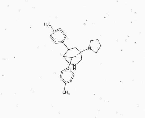 Cc1ccc(C2CC3(N4CCCC4)CNCC2C(c2ccc(C)cc2)C3)cc1